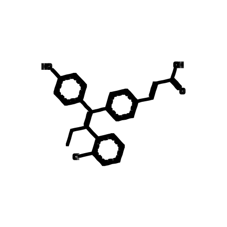 CC/C(=C(\c1ccc(O)cc1)c1ccc(/C=C/C(=O)O)cc1)c1ccccc1Cl